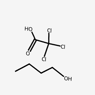 CCCCO.O=C(O)C(Cl)(Cl)Cl